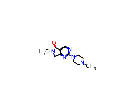 CN1CCN(c2ncc3c(n2)CN(C)C3=O)CC1